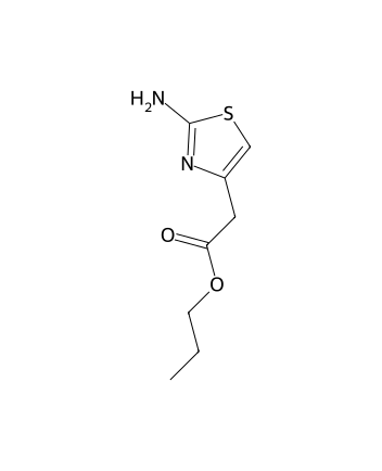 CCCOC(=O)Cc1csc(N)n1